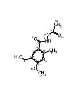 CCc1cc(C(=O)NNC(C)=O)c(C)nc1OC